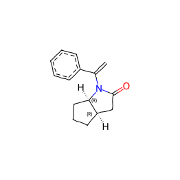 C=C(c1ccccc1)N1C(=O)C[C@H]2CCC[C@H]21